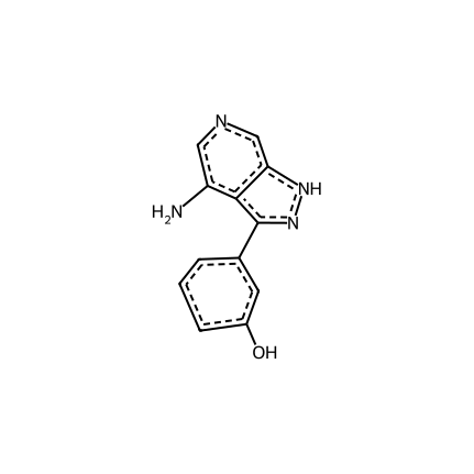 Nc1cncc2[nH]nc(-c3cccc(O)c3)c12